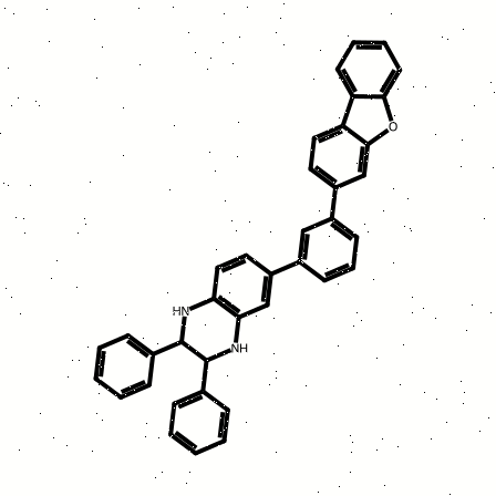 c1ccc(C2Nc3ccc(-c4cccc(-c5ccc6c(c5)oc5ccccc56)c4)cc3NC2c2ccccc2)cc1